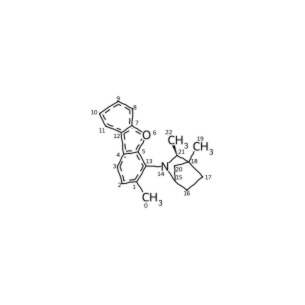 Cc1ccc2c(oc3ccccc32)c1N1C2CCC(C)(C2)[C@@H]1C